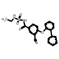 CCNS(=O)(=O)NC(=O)c1ccc(Oc2ccccc2-c2ccccc2)c(C#N)c1